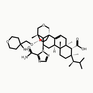 CC(C)[C@@H](C)[C@@]1(C)CC[C@]2(C)[C@H]3CC[C@@H]4[C@@]5(COC[C@@]4(C)[C@@H](OCC4(N)CCOCC4)[C@H](n4ncnc4C(N)=O)C5)C3=CC[C@@]2(C)[C@@H]1C(=O)O